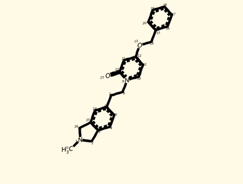 CN1Cc2ccc(CCn3ccc(OCc4ccccc4)cc3=O)cc2C1